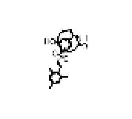 Cc1cc(C)c(/C=C/S(=O)(=O)N2CCCC/C=C(\c3cccc(O)c3)NC(=O)CC2)c(C)c1